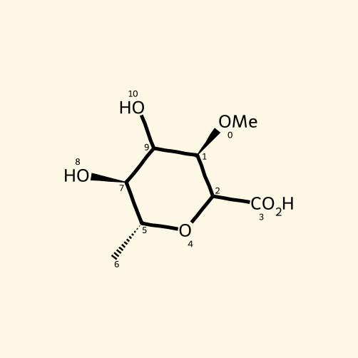 CO[C@H]1C(C(=O)O)O[C@H](C)[C@@H](O)C1O